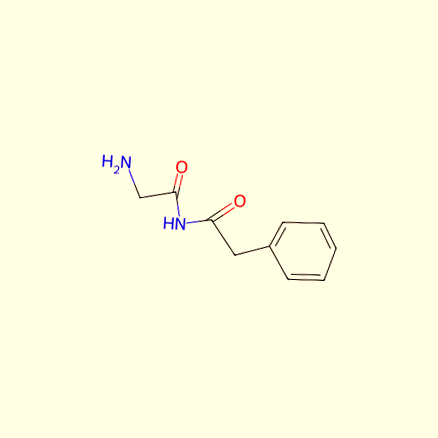 NCC(=O)NC(=O)Cc1ccccc1